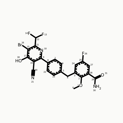 COc1c(Cc2ccc(-c3nc(C(F)F)c(Br)c(O)c3C#N)cc2)cc(F)cc1C(N)=O